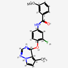 COc1cccc(C(=O)Nc2ccc(Oc3ncnn4ccc(C)c34)c(F)c2)c1